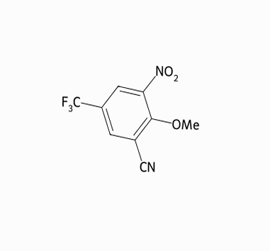 COc1c(C#N)cc(C(F)(F)F)cc1[N+](=O)[O-]